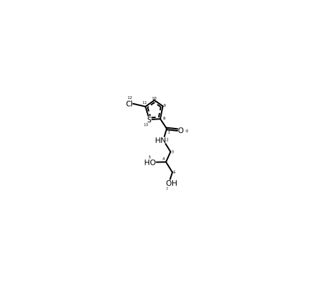 O=C(NCC(O)CO)c1ccc(Cl)s1